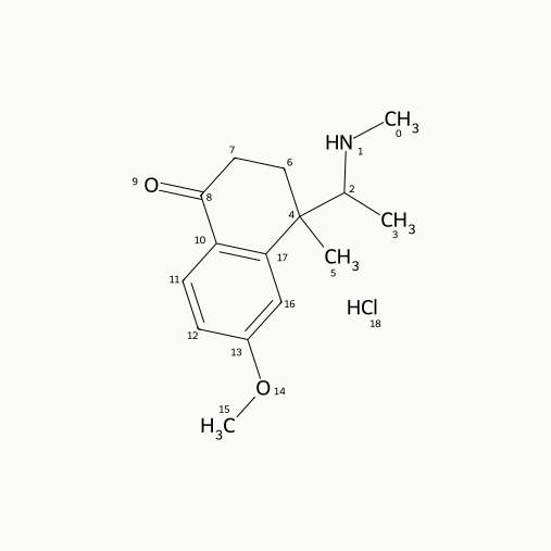 CNC(C)C1(C)CCC(=O)c2ccc(OC)cc21.Cl